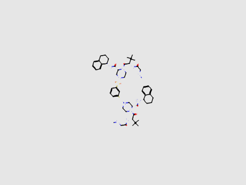 CN[C@@H](C)C(=O)N[C@H](C(=O)N1CCN(S(=O)(=O)c2cccc(S(=O)(=O)N3CCN(C(=O)[C@@H](NC(=O)[C@H](C)NC)C(C)(C)C)[C@H](C(=O)N[C@@H]4CCCc5ccccc54)C3)c2)C[C@H]1C(=O)N[C@@H]1CCCc2ccccc21)C(C)(C)C